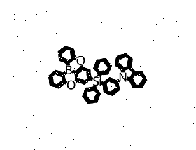 c1ccc([Si](c2ccccc2)(c2cccc(-n3c4ccccc4c4ccccc43)c2)c2cc3c4c(c2)Oc2ccccc2B4c2ccccc2O3)cc1